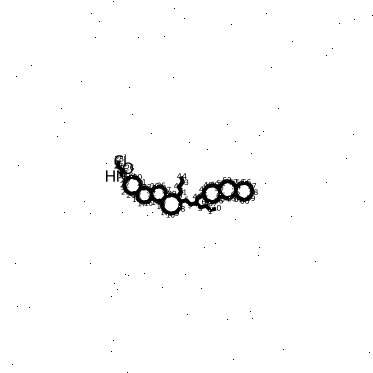 CCCCC(CCC1CCCCCC2CC3CCCC4CCCC(NC(=O)CCl)CCCC4CC3CCCC2CC1CCCC)CC1CCCC2CCCC3CCCCCCCC3CCC2CCC1